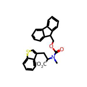 CN(C(=O)OCC1c2ccccc2-c2ccccc21)C(Cc1csc2ccccc12)C(=O)O